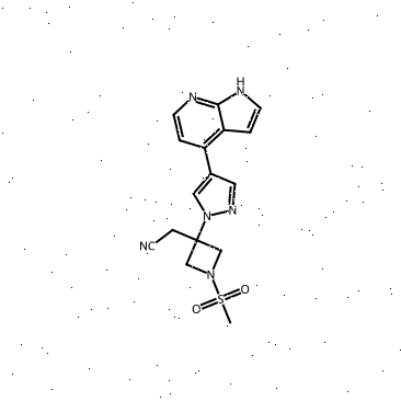 CS(=O)(=O)N1CC(CC#N)(n2cc(-c3ccnc4[nH]ccc34)cn2)C1